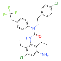 CCc1c(N)cc(Cl)c(CC)c1NC(=O)N(CCc1ccc(Cl)cc1)c1ccc(CC(F)(F)F)cc1